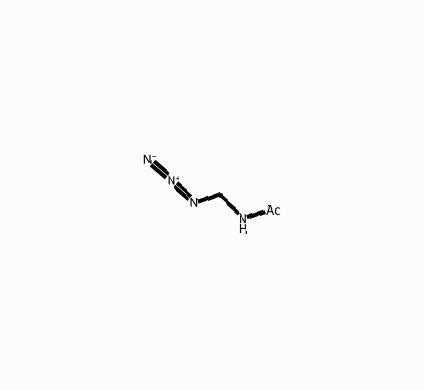 CC(=O)NCN=[N+]=[N-]